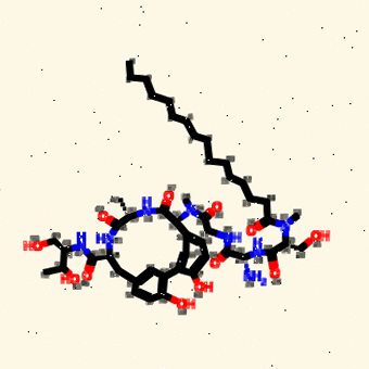 CCCCCCCCCCCCCCCC(=O)N(C)[C@H](CO)C(=O)N[C@H](N)C(=O)NCC(=O)N(C)[C@@H]1C(=O)N[C@@H](C)C(=O)N[C@H](C(=O)N[C@H](CO)C(C)O)Cc2ccc(O)c(c2)-c2cc1ccc2O